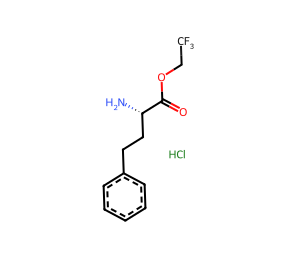 Cl.N[C@@H](CCc1ccccc1)C(=O)OCC(F)(F)F